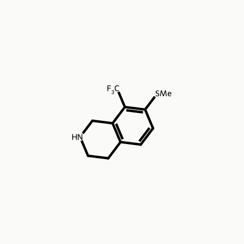 CSc1ccc2c(c1C(F)(F)F)CNCC2